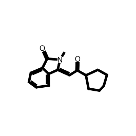 CN1C(=O)c2ccccc2/C1=C/C(=O)C1CCCCC1